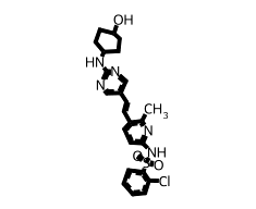 Cc1nc(NS(=O)(=O)c2ccccc2Cl)ccc1/C=C/c1cnc(NC2CCC(O)CC2)nc1